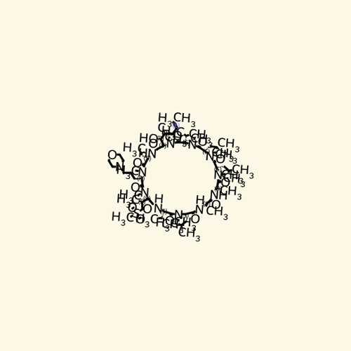 C/C=C/C[C@@H](C)[C@@H](O)[C@H]1C(=O)N[C@@H](CC)C(=O)N(C)[C@H](CCCN2CCOCC2)C(=O)N(C)[C@@H]([C@H](C)CS(C)(=O)=O)C(=O)N[C@@H](C(C)C)C(=O)N(C)[C@@H](CC(C)C)C(=O)N[C@@H](C)C(=O)N[C@H](C)C(=O)N(C)[C@@H](CC(C)C)C(=O)N(C)[C@@H](CC(C)C)C(=O)N(C)[C@@H](C(C)C)C(=O)N1C